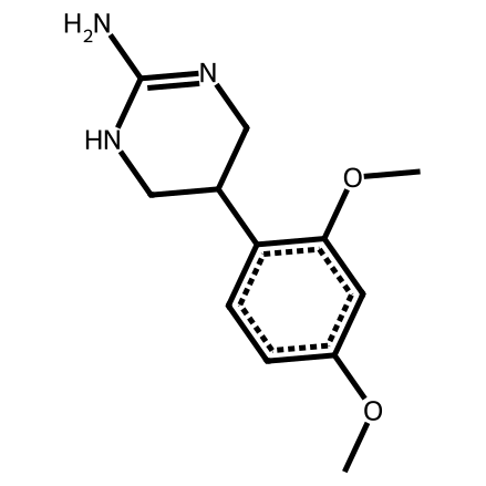 COc1ccc(C2CN=C(N)NC2)c(OC)c1